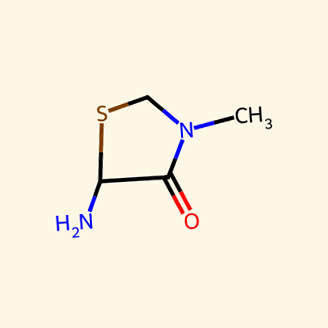 CN1CSC(N)C1=O